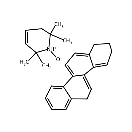 C1=c2c(ccc3c2=CCc2ccccc2-3)CCC1.CC1(C)C=CCC(C)(C)[NH+]1[O-]